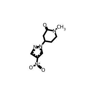 CN1CCC(n2cc([N+](=O)[O-])cn2)CC1=O